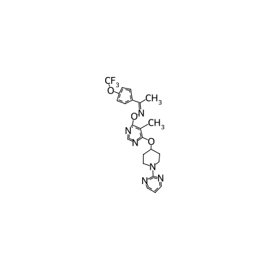 CC(=NOc1ncnc(OC2CCN(c3ncccn3)CC2)c1C)c1ccc(OC(F)(F)F)cc1